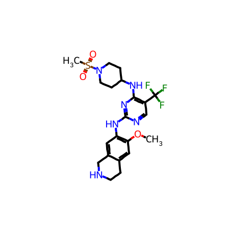 COc1cc2c(cc1Nc1ncc(C(F)(F)F)c(NC3CCN(S(C)(=O)=O)CC3)n1)CNCC2